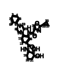 Cc1ccccc1N1CCN(c2ccc(C(=O)N[C@@H]3CCC[C@H](O)[C@@H]3O)cc2NC(=O)c2coc(C3CC3)n2)CC1